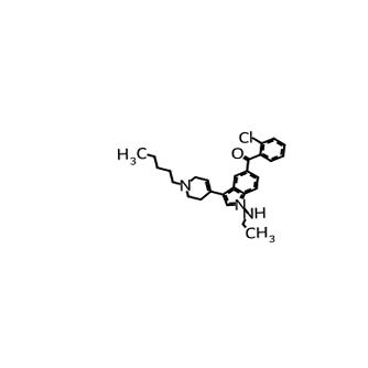 CCCCCN1CC=C(c2cn(NCC)c3ccc(C(=O)c4ccccc4Cl)cc23)CC1